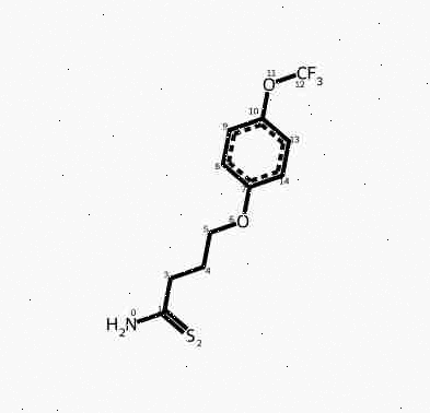 NC(=S)CCCOc1ccc(OC(F)(F)F)cc1